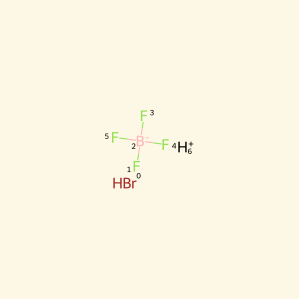 Br.F[B-](F)(F)F.[H+]